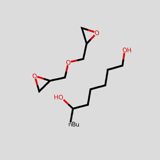 C(OCC1CO1)C1CO1.CCCCC(O)CCCCCO